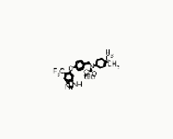 CC1(C)CCC(N(Cc2ccc(Oc3cc4[nH]cnc4cc3C(F)(F)F)cc2)C(=O)OC(C)(C)C)CC1